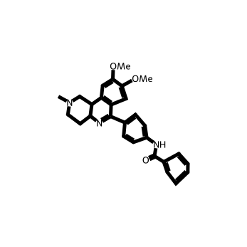 COc1cc2c(cc1OC)C1CN(C)CCC1N=C2c1ccc(NC(=O)c2ccccc2)cc1